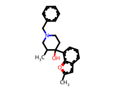 Cc1cc2cccc(C3(O)CCN(Cc4ccccc4)CC3C)c2o1